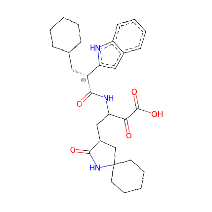 O=C(O)C(=O)C(CC1CC2(CCCCC2)NC1=O)NC(=O)[C@H](CC1CCCCC1)c1cc2ccccc2[nH]1